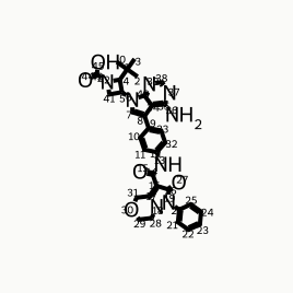 CC(C)(C)C1C(n2cc(-c3ccc(NC(=O)c4c5n(n(-c6ccccc6)c4=O)CCOC5)cc3)c3c(N)ncnc32)CN1C(=O)O